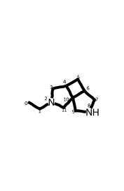 CCN1CC2CC3CNCC32C1